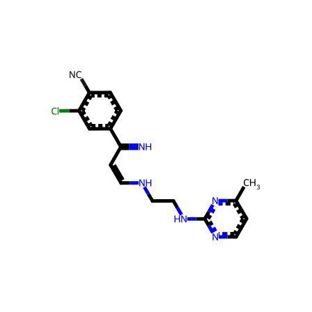 Cc1ccnc(NCCN/C=C\C(=N)c2ccc(C#N)c(Cl)c2)n1